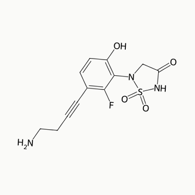 NCCC#Cc1ccc(O)c(N2CC(=O)NS2(=O)=O)c1F